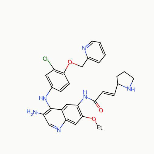 CCOc1cc2ncc(N)c(Nc3ccc(OCc4ccccn4)c(Cl)c3)c2cc1NC(=O)/C=C/C1CCCN1